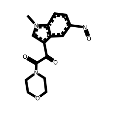 Cn1cc(C(=O)C(=O)N2CCOCC2)c2cc(N=O)ccc21